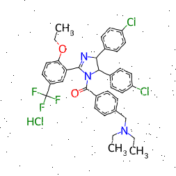 CCOc1ccc(C(F)(F)F)cc1C1=NC(c2ccc(Cl)cc2)C(c2ccc(Cl)cc2)N1C(=O)c1ccc(CN(CC)CC)cc1.Cl